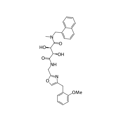 COc1ccccc1Cc1coc(CNC(=O)[C@H](O)[C@@H](O)C(=O)N(C)Cc2cccc3ccccc23)n1